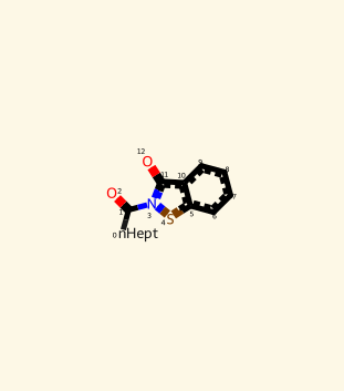 CCCCCCCC(=O)n1sc2ccccc2c1=O